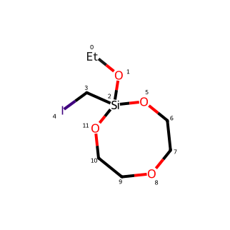 CCO[Si]1(CI)OCCOCCO1